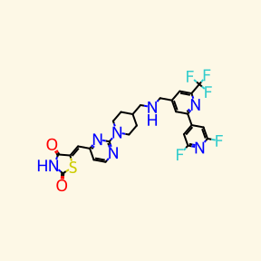 O=C1NC(=O)/C(=C/c2ccnc(N3CCC(CNCc4cc(-c5cc(F)nc(F)c5)nc(C(F)(F)F)c4)CC3)n2)S1